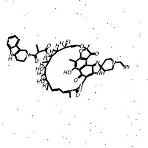 CC[C@H]1/C=C/O[C@@]2(C)Oc3c(C)c(O)c4c(c3C2=O)C2=NC3(CCN(CC(C)C)CC3)NC2=C(NC(=O)/C(C)=C\C=C\[C@H](C)[C@H](O)[C@@H](C)[C@@H](O)[C@@H](C)[C@H](OC(=O)C(C)C(=O)N2CCc3[nH]c5ccccc5c3C2)[C@@H]1C)C4=O